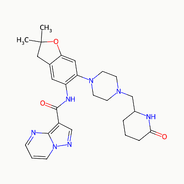 CC1(C)Cc2cc(NC(=O)c3cnn4cccnc34)c(N3CCN(CC4CCCC(=O)N4)CC3)cc2O1